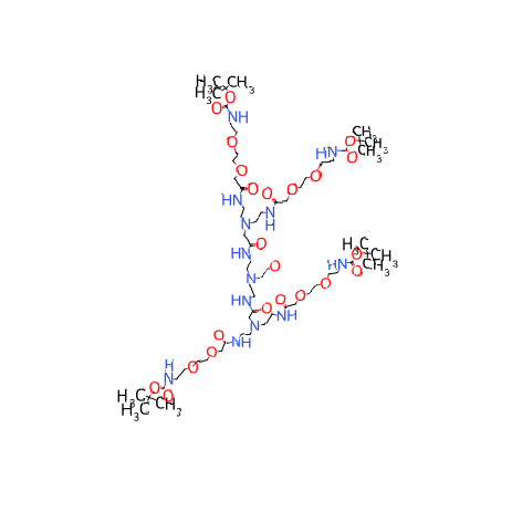 CC(C)(C)OC(=O)NCCOCCOCC(=O)NCCN(CCNC(=O)COCCOCCNC(=O)OC(C)(C)C)CC(=O)NCCN(CC=O)CCNC(=O)CN(CCNC(=O)COCCOCCNC(=O)OC(C)(C)C)CCNC(=O)COCCOCCNC(=O)OC(C)(C)C